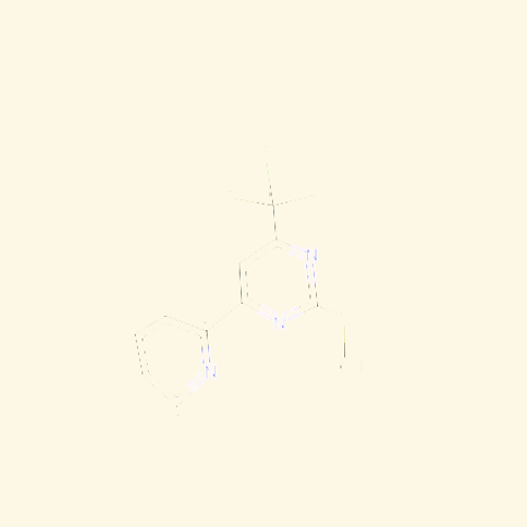 CSc1nc(-c2ccccn2)cc(C(F)(F)F)n1